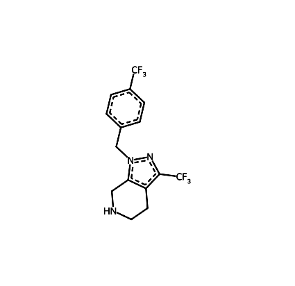 FC(F)(F)c1ccc(Cn2nc(C(F)(F)F)c3c2CNCC3)cc1